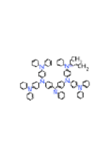 C=C/C=C(\C=C)N(c1ccccc1)c1ccc(N(c2ccc(/C(=N\c3ccccc3)c3ccc(N(c4ccc(N(c5ccccc5)c5ccccc5)cc4)c4ccc(N(c5ccccc5)c5ccccc5)cc4)cc3)cc2)c2ccc(N(c3ccccc3)c3ccccc3)cc2)cc1